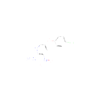 Nc1ncc(Oc2ccc(Cl)cc2)cc1[N+](=O)[O-]